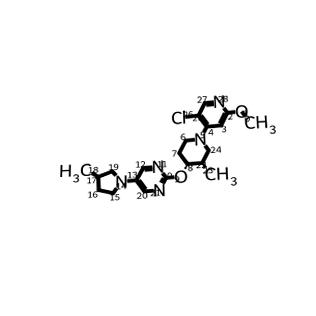 COc1cc(N2CC[C@@H](Oc3ncc(N4CCC(C)C4)cn3)[C@H](C)C2)c(Cl)cn1